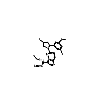 CCN/C(=N\C#N)c1cnc2ccc(N3CC(F)CC3c3cc(F)cc(SC)c3)nn12